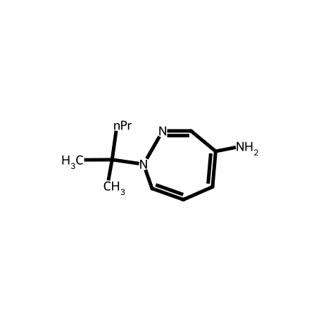 CCCC(C)(C)N1C=CC=C(N)C=N1